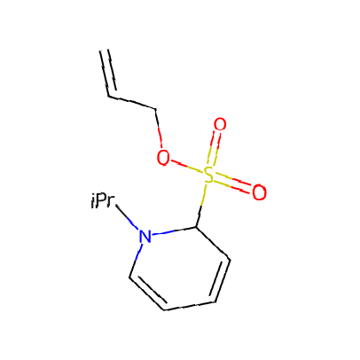 C=CCOS(=O)(=O)C1C=CC=CN1C(C)C